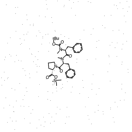 CN(C(=O)OC(C)(C)C)[C@@H](Cc1ccccc1)C(=O)N(C)[C@@H](Cc1ccccc1)C(=O)N1CCC[C@H]1C(=O)O[Si](C)(C)C